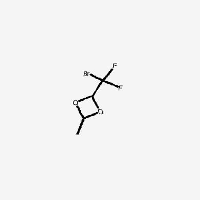 CC1OC(C(F)(F)Br)O1